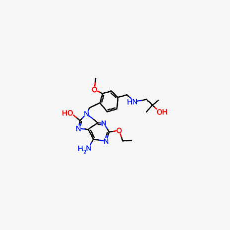 CCOc1nc(N)c2nc(O)n(Cc3ccc(CNCC(C)(C)O)cc3OC)c2n1